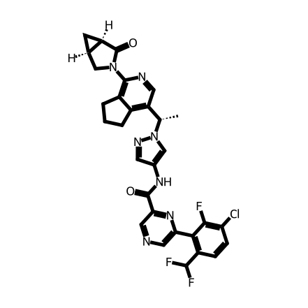 C[C@@H](c1cnc(N2C[C@H]3C[C@H]3C2=O)c2c1CCC2)n1cc(NC(=O)c2cncc(-c3c(C(F)F)ccc(Cl)c3F)n2)cn1